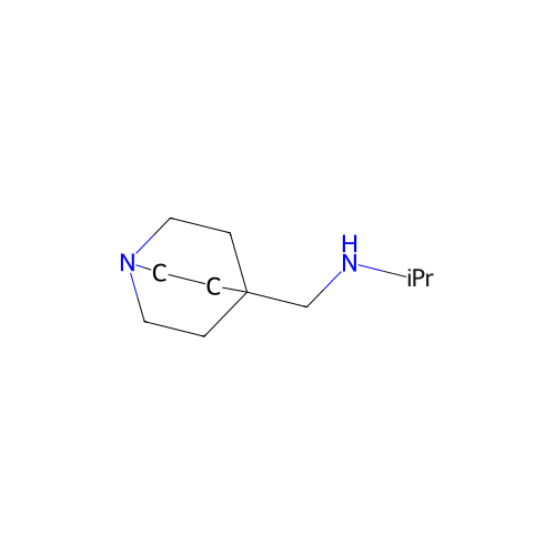 CC(C)NCC12CCN(CC1)CC2